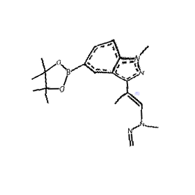 C=NN(C)/C=C(\C)c1nn(C)c2ccc(B3OC(C)(C)C(C)(C)O3)cc12